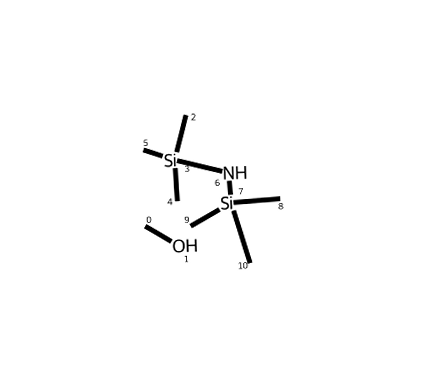 CO.C[Si](C)(C)N[Si](C)(C)C